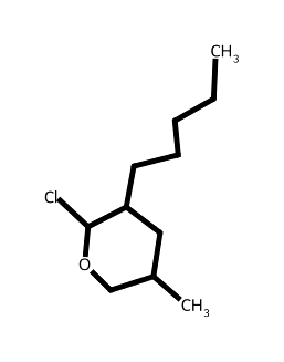 CCCCCC1CC(C)COC1Cl